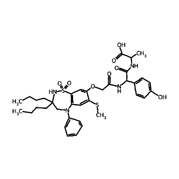 CCCCC1(CCCC)CN(c2ccccc2)c2cc(SC)c(OCC(=O)NC(C(=O)NC(C)C(=O)O)c3ccc(O)cc3)cc2S(=O)(=O)N1